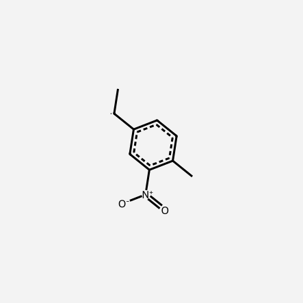 C[CH]c1ccc(C)c([N+](=O)[O-])c1